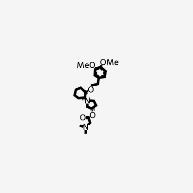 COc1ccc(CCO[C@@H]2CCCC[C@@H]2N2CC[C@H](OC(=O)CN(C)C)C2)cc1OC